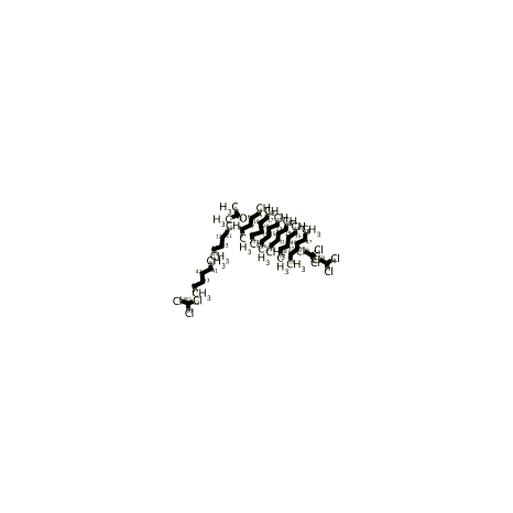 CC(C)=O.CCCCCC.CCCCCC.CCCCCC.CCCCCC.CCCCCC.CCCCCC.CCCCCC.CCCCCC.ClC(Cl)Cl.ClC(Cl)Cl.ClC(Cl)Cl